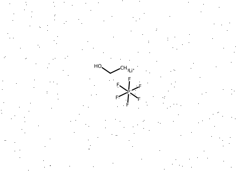 CCO.F[P-](F)(F)(F)(F)F.[Li+]